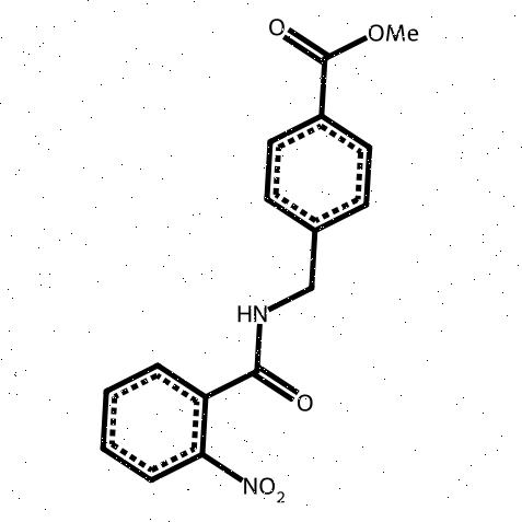 COC(=O)c1ccc(CNC(=O)c2ccccc2[N+](=O)[O-])cc1